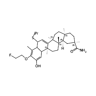 CC1=C(OCCF)C(O)=CC2C1C(SC(C)C)C=C1[C@@]2(C)CC[C@@]2(C)[C@@H]3C[C@](C)(C(N)=O)CC[C@]3(C)CC[C@]12C